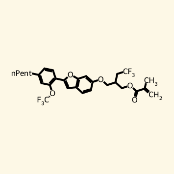 C=C(C)C(=O)OCC(COc1ccc2cc(-c3ccc(CCCCC)cc3OC(F)(F)F)oc2c1)CC(F)(F)F